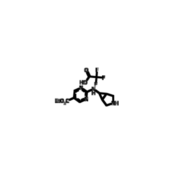 CCOC(=O)c1cnc(NC2C3CNCC32)nc1.O=C(O)C(F)(F)F